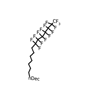 CCCCCCCCCCCCCCCCCC(F)(F)C(F)(F)C(F)(F)C(F)(F)C(F)(F)C(F)(F)C(F)(F)F